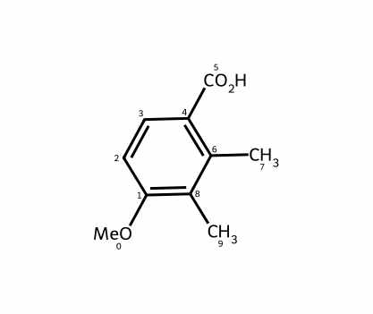 COc1ccc(C(=O)O)c(C)c1C